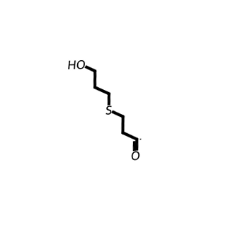 O=[C]CCSCCCO